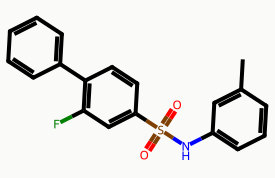 Cc1cccc(NS(=O)(=O)c2ccc(-c3ccccc3)c(F)c2)c1